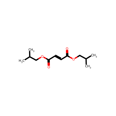 CC(C)COC(=O)/C=C/C(=O)OCC(C)C